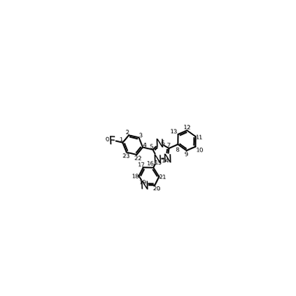 Fc1ccc(-c2nc(-c3ccccc3)nn2-c2ccncc2)cc1